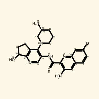 CCc1ccc2cc(N)c(C(=O)Nc3cnc4c(c3N3CCC[C@H](N)C3)CCC4O)nc2c1